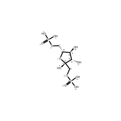 O=P(O)(O)OC[C@H]1O[C@@](O)(COP(=O)(O)O)[C@@H](O)[C@@H]1O